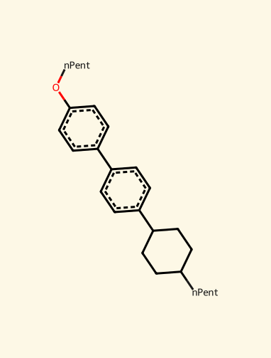 CCCCCOc1ccc(-c2ccc(C3CCC(CCCCC)CC3)cc2)cc1